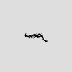 C=CCCCCCCOc1ccc(-c2ncc(-c3ccc(CCC[C@@H](C)CC)cc3)cn2)cc1